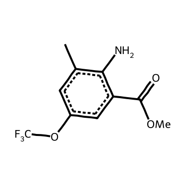 COC(=O)c1cc(OC(F)(F)F)cc(C)c1N